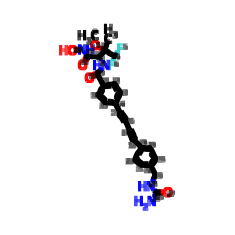 COC(C)(C(F)F)[C@H](NC(=O)c1ccc(C#CC#Cc2ccc(CNC(N)=O)cc2)cc1)C(=O)NO